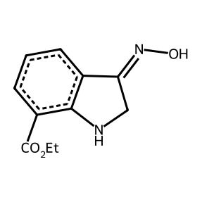 CCOC(=O)c1cccc2c1NC/C2=N\O